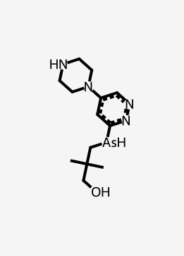 CC(C)(CO)C[AsH]c1cc(N2CCNCC2)cnn1